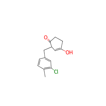 Cc1ccc(CC2C=C(O)CCC2=O)cc1Cl